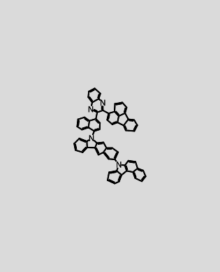 c1ccc2c(c1)-c1cccc3c(-c4nc5ccccc5nc4-c4ccc(-n5c6ccccc6c6cc7cc(-n8c9ccccc9c9c%10ccccc%10ccc98)ccc7cc65)c5ccccc45)ccc-2c13